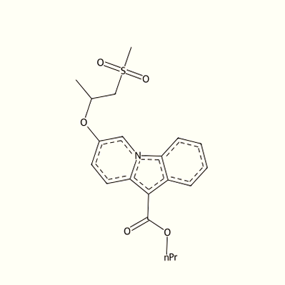 CCCOC(=O)c1c2ccccc2n2cc(OC(C)CS(C)(=O)=O)ccc12